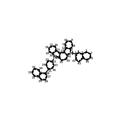 c1ccc2cc(-n3c4ccccc4c4c5c6ccccc6n(-c6ccc(-c7cccc8ccccc78)cc6)c5ccc43)ccc2c1